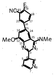 CNc1nc(-c2cccnc2)nc2c(OC)cc(-c3ccc(F)c(C#N)c3)cc12